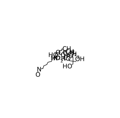 C=CC(=O)O.C=CC(=O)O.C=CC(=O)O.O=C=NCCCCCCN=C=O.OCC(CO)(CO)CO